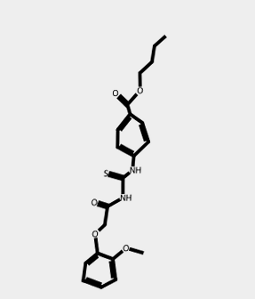 CCCCOC(=O)c1ccc(NC(=S)NC(=O)COc2ccccc2OC)cc1